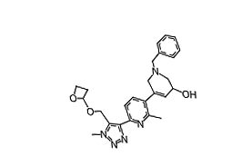 Cc1nc(-c2nnn(C)c2COC2CCO2)ccc1C1=CC(O)CN(Cc2ccccc2)C1